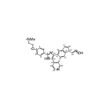 CNCCOc1ccc(-c2nc(-c3ccc4c(c3)C=CC4C=NO)c(-c3ccncc3)[nH]2)cc1